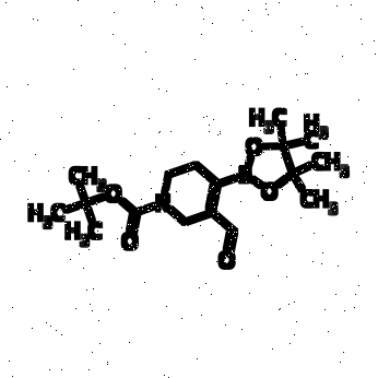 CC(C)(C)OC(=O)N1CCC(B2OC(C)(C)C(C)(C)O2)=C(C=O)C1